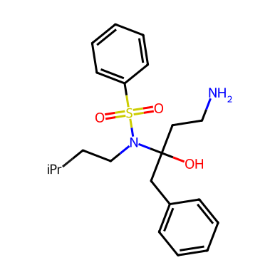 CC(C)CCN(C(O)(CCN)Cc1ccccc1)S(=O)(=O)c1ccccc1